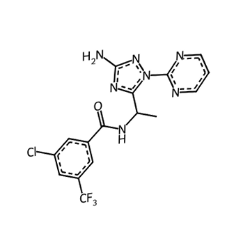 CC(NC(=O)c1cc(Cl)cc(C(F)(F)F)c1)c1nc(N)nn1-c1ncccn1